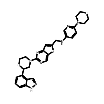 c1cc(C2CN(c3ncc4sc(CNc5ccc(N6CCOCC6)nc5)cc4n3)CCO2)c2cn[nH]c2c1